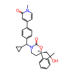 Cn1ccc(-c2ccc(C(C3CC3)N3CC[C@@](CC(C)(C)O)(c4ccccc4)OC3=O)cc2)cc1=O